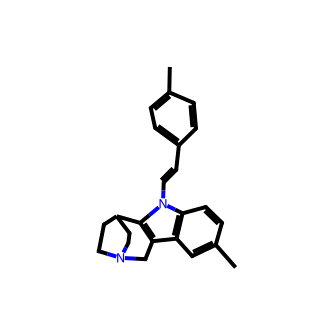 Cc1ccc(C=Cn2c3c(c4cc(C)ccc42)CN2CCC3CC2)cc1